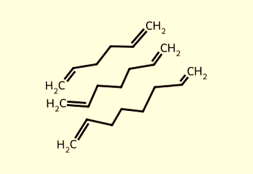 C=CCCC=C.C=CCCCC=C.C=CCCCCC=C